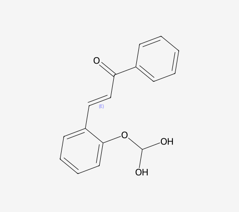 O=C(/C=C/c1ccccc1OC(O)O)c1ccccc1